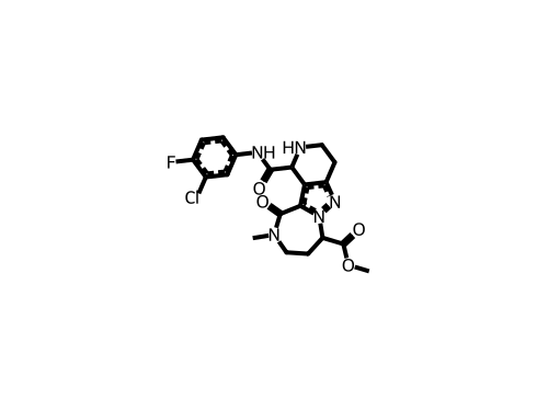 COC(=O)C1CCN(C)C(=O)c2c3c(nn21)CCNC3C(=O)Nc1ccc(F)c(Cl)c1